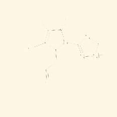 CC1=C(Cl)C(OC=O)N(c2nc[nH]n2)C1=O